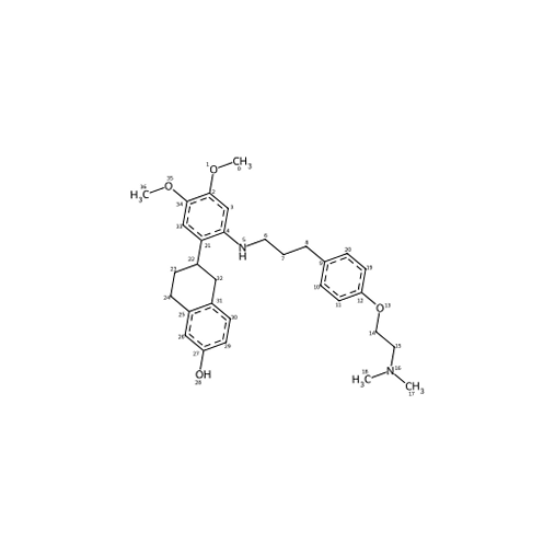 COc1cc(NCCCc2ccc(OCCN(C)C)cc2)c(C2CCc3cc(O)ccc3C2)cc1OC